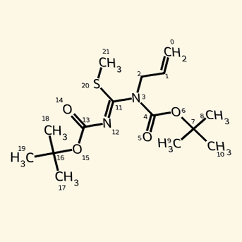 C=CCN(C(=O)OC(C)(C)C)/C(=N/C(=O)OC(C)(C)C)SC